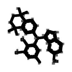 Cc1cc(Cl)c(Cl)c(N(c2ccc3c(c2)C(C)(C)CCC3(C)C)c2csc3ccc(C(C)(C)C)cc23)c1